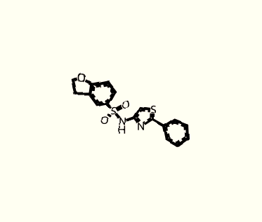 O=S(=O)(Nc1csc(-c2ccccc2)n1)c1ccc2c(c1)CCO2